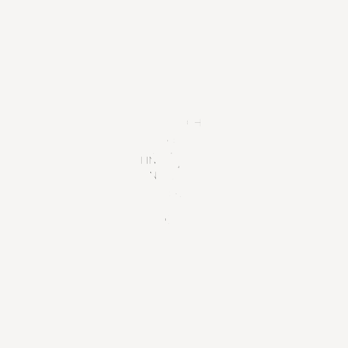 CCOc1cc(OCC)[nH]n1